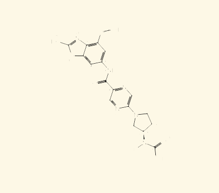 COc1cc(NC(=O)c2cnc(N3CC[C@@H](N(C)C(=O)O)C3)cn2)cc2oc(C)nc12